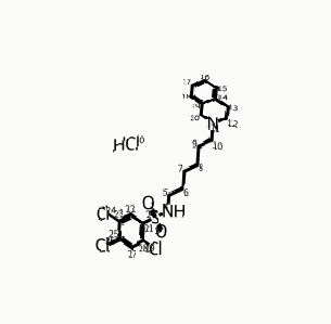 Cl.O=S(=O)(NCCCCCCN1CCc2ccccc2C1)c1cc(Cl)c(Cl)cc1Cl